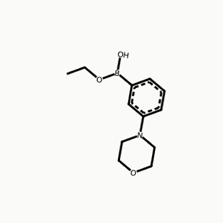 CCOB(O)c1cccc(N2CCOCC2)c1